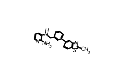 Cc1nc2cc(-c3cccc(CNc4cccnc4N)c3)ccc2s1